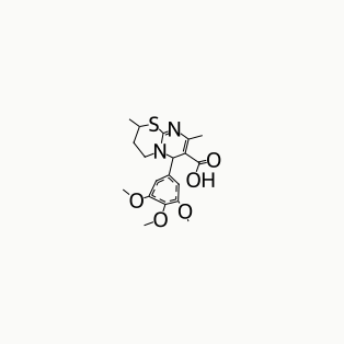 COc1cc(C2C(C(=O)O)=C(C)N=C3SC(C)CCN32)cc(OC)c1OC